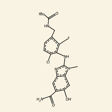 Cn1c(Nc2c(Cl)ccc(CNC(=O)C(C)(C)C)c2F)nc2cc(C(N)=O)c(O)cc21